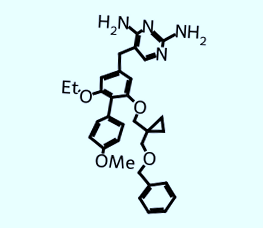 CCOc1cc(Cc2cnc(N)nc2N)cc(OCC2(COCc3ccccc3)CC2)c1-c1ccc(OC)cc1